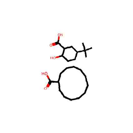 CC(C)(C)C1CCC(O)C(C(=O)O)C1.O=C(O)C1CCCCCCCCCCC1